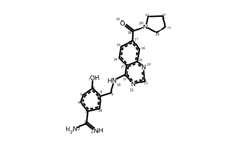 N=C(N)c1ccc(O)c(CNc2ncnc3cc(C(=O)N4CCCC4)ccc23)c1